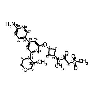 C[C@H]1COCCN1c1nc(O[C@H]2C[C@H](N(C)C(=O)CS(C)(=O)=O)C2)cc(-c2cnc(N)nc2)n1